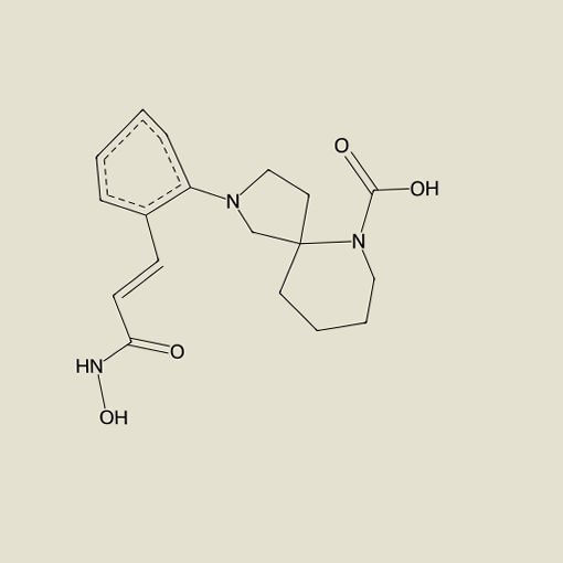 O=C(C=Cc1ccccc1N1CCC2(CCCCN2C(=O)O)C1)NO